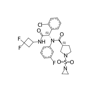 O=C(NC1CC(F)(F)C1)[C@H](c1ccccc1Cl)N(C(=O)[C@H]1CCN(S(=O)(=O)N2CC2)C1)c1cccc(F)c1